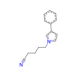 N#CCCCCn1ccc(-c2ccccc2)c1